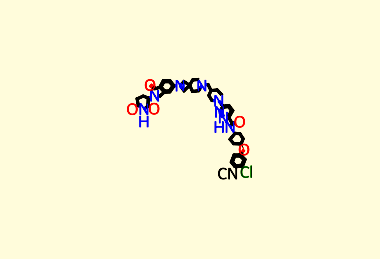 N#Cc1ccc(O[C@H]2CC[C@H](NC(=O)c3ccc(N4CCC(CN5CCC6(CC5)CN(c5ccc7c(c5)CN(C5CCC(=O)NC5=O)C7=O)C6)CC4)nn3)CC2)cc1Cl